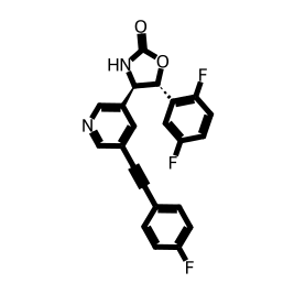 O=C1N[C@H](c2cncc(C#Cc3ccc(F)cc3)c2)[C@@H](c2cc(F)ccc2F)O1